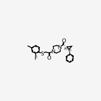 Cc1ccc(SCC(=O)N2CCN(C(=O)[C@@H]3C[C@H]3c3ccccc3)CC2)c(F)c1